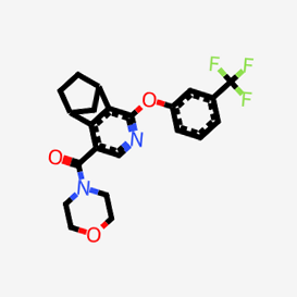 O=C(c1cnc(Oc2cccc(C(F)(F)F)c2)c2c1C1CCC2C1)N1CCOCC1